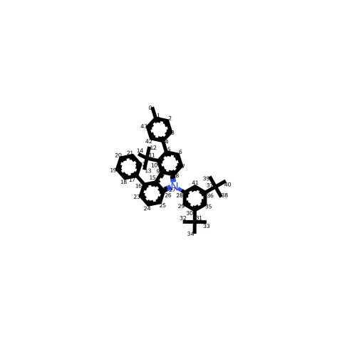 Cc1ccc(-c2ccc3c(c2C(C)(C)C)c2c(-c4ccccc4)cccc2n3-c2cc(C(C)(C)C)cc(C(C)(C)C)c2)cc1